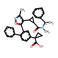 Cc1noc(-c2cc(C3(C(=O)O)CC3)ccc2-c2ccccc2)c1C1CC1C(=O)N(C)[C@H](C)c1ccccc1